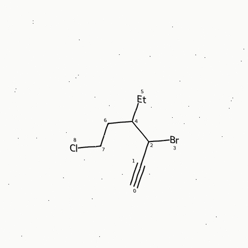 C#CC(Br)C(CC)CCCl